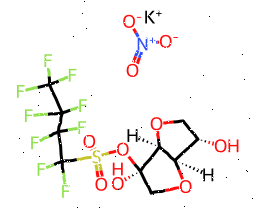 O=S(=O)(O[C@]1(O)CO[C@@H]2[C@@H](O)CO[C@@H]21)C(F)(F)C(F)(F)C(F)(F)C(F)(F)F.O=[N+]([O-])[O-].[K+]